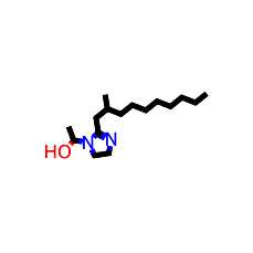 CCCCCCCCC(C)CC1=NCCN1C(C)O